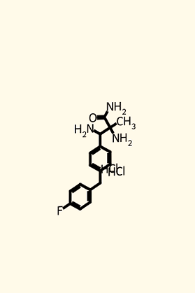 CC(N)(C(N)=O)C(N)c1ccc(Cc2ccc(F)cc2)cc1.Cl.Cl